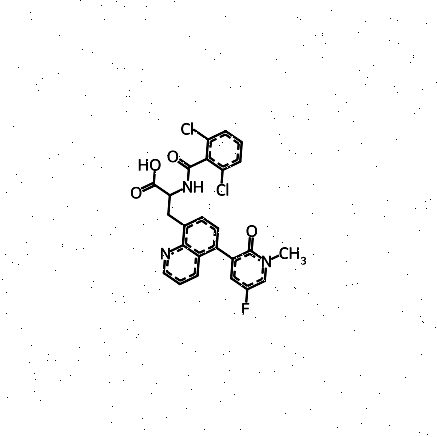 Cn1cc(F)cc(-c2ccc(CC(NC(=O)c3c(Cl)cccc3Cl)C(=O)O)c3ncccc23)c1=O